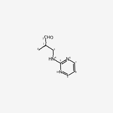 CC(C=O)CNc1ncccn1